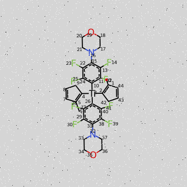 CC1=[C]([Ti]([C]2=C(C)C=CC2)([c]2c(F)c(F)c(N3CCOCC3)c(F)c2F)[c]2c(F)c(F)c(N3CCOCC3)c(F)c2F)CC=C1